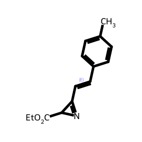 CCOC(=O)C1N=C1/C=C/c1ccc(C)cc1